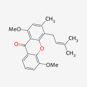 COc1cccc2c(=O)c3c(OC)cc(C)c(CC=C(C)C)c3oc12